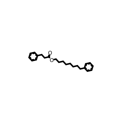 O=C(CCc1ccccc1)OCCCCCCCCc1ccccc1